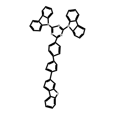 c1ccc2c(c1)sc1cc(-c3ccc(-c4ccc(-c5nc(-n6c7ccccc7c7ccccc76)nc(-n6c7ccccc7c7ccccc76)n5)cc4)cc3)ccc12